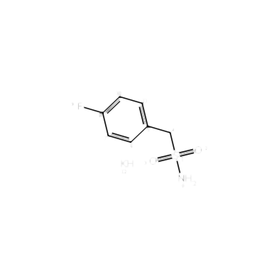 NS(=O)(=O)Cc1ccc(F)cc1.[KH]